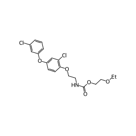 CCOCCOC(=O)NCCOc1ccc(Oc2cccc(Cl)c2)cc1Cl